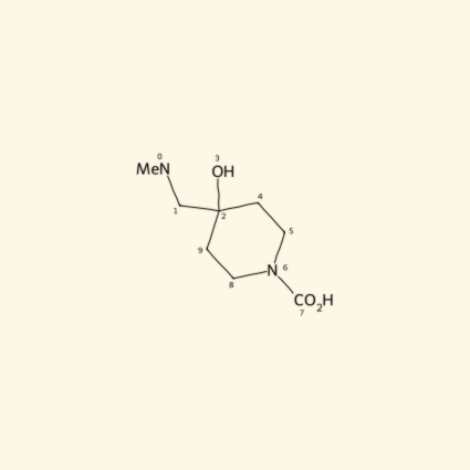 CNCC1(O)CCN(C(=O)O)CC1